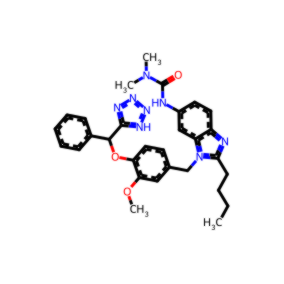 CCCCc1nc2ccc(NC(=O)N(C)C)cc2n1Cc1ccc(OC(c2ccccc2)c2nnn[nH]2)c(OC)c1